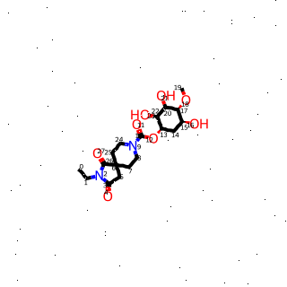 CCN1C(=O)CC2(CCN(C(=O)O[C@@H]3C[C@H](O)[C@H](OC)C(O)C3O)CC2)C1=O